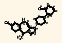 CC1C2=C(C=C(Cl)CC2)NC=C2N1C=NN2[C@H]1CC[C@H](c2cccnc2Cl)CC1